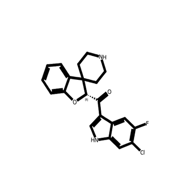 O=C(c1c[nH]c2cc(Cl)c(F)cc12)[C@@H]1Oc2ccccc2C12CCNCC2